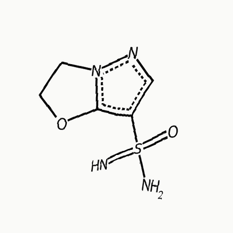 N=S(N)(=O)c1cnn2c1OCC2